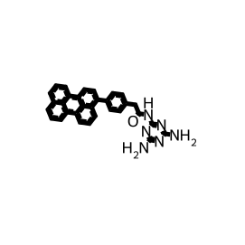 Nc1nc(N)nc(NC(=O)Cc2ccc(-c3ccc4c5cccc6cccc(c7cccc3c74)c65)cc2)n1